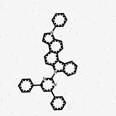 c1ccc(-c2cc(-c3ccccc3)nc(-n3c4ccccc4c4c5ccc6c(ccn6-c6ccccc6)c5ccc43)n2)cc1